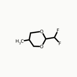 CC1COC(C(F)F)OC1